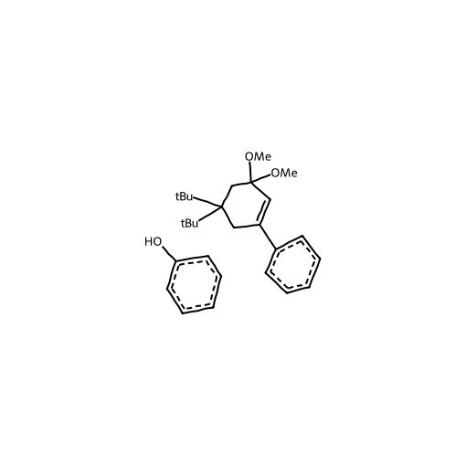 COC1(OC)C=C(c2ccccc2)CC(C(C)(C)C)(C(C)(C)C)C1.Oc1ccccc1